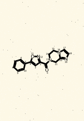 O=C(c1cc(-c2ccccc2)on1)N1CCn2ccnc2C1